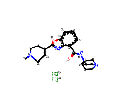 CN1CCC(c2nc3c(C(=O)NC4CN5CCC4CC5)cccc3o2)CC1.Cl.Cl